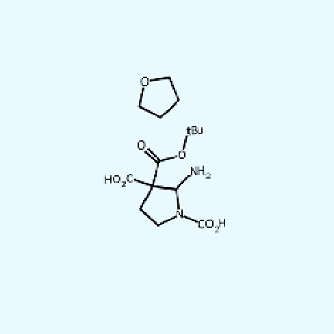 C1CCOC1.CC(C)(C)OC(=O)C1(C(=O)O)CCN(C(=O)O)C1N